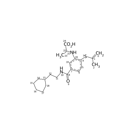 C=C(C)Sc1ccc(C(=O)NCCC2CCCCC2)cc1NC(C)C(=O)O